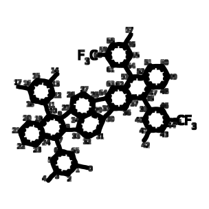 Cc1cc(C)cc(-c2c3c(c(-c4cc(C)cc(C)c4)c4ccccc24)-c2ccc4c5c(ccc-3c25)-c2cc3c(-c5cc(C)cc(C(F)(F)F)c5)c5ccccc5c(-c5cc(C)cc(C(F)(F)F)c5)c3cc2-4)c1